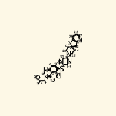 COC(C)Cn1cnc2ccc(Sc3cnc(N4CCC5(CC4)Cc4cccnc4C5)cn3)c(Cl)c2c1=O